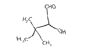 CC(C)(C)C(O)C=O